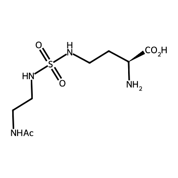 CC(=O)NCCNS(=O)(=O)NCC[C@H](N)C(=O)O